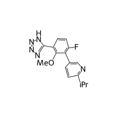 COc1c(-c2nnn[nH]2)ccc(F)c1-c1ccc(C(C)C)nc1